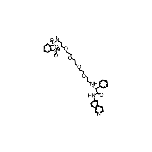 CN(CCOCCOCCOCCOCCNC[C@@H](C(=O)Nc1ccc2cnccc2c1)c1ccccc1)S(=O)(=O)c1ccccc1[N+](=O)[O-]